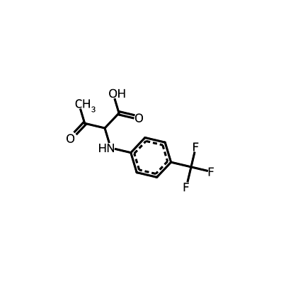 CC(=O)C(Nc1ccc(C(F)(F)F)cc1)C(=O)O